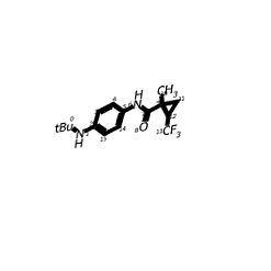 CC(C)(C)Nc1ccc(NC(=O)C2(C)CC2C(F)(F)F)cc1